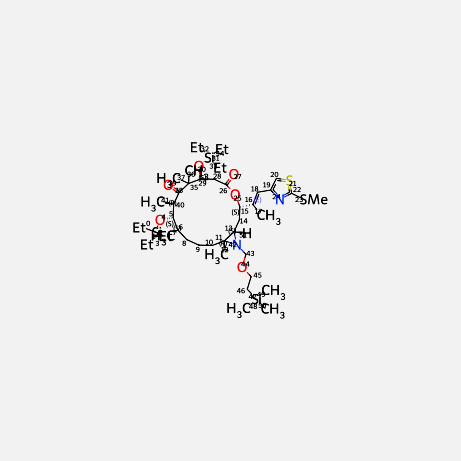 CC[Si](CC)(CC)O[C@H]1[C@@H](C)CCC[C@]2(C)[C@H](C[C@@H](/C(C)=C/c3csc(SC)n3)OC(=O)C[C@H](O[Si](CC)(CC)CC)C(C)(C)C(=O)[C@@H]1C)N2COCC[Si](C)(C)C